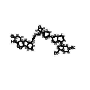 CCc1nc(-c2cccc3cc(-c4ccc(C5(NCC#Cc6cccc7c6CN(C6CCC(=O)NC6=O)C7=O)COC5)nc4)ncc23)c2n1CCN(C(C)=O)C2